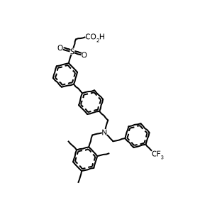 Cc1cc(C)c(CN(Cc2ccc(-c3cccc(S(=O)(=O)CC(=O)O)c3)cc2)Cc2cccc(C(F)(F)F)c2)c(C)c1